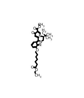 CCOC(=O)CCCCCCOc1cccc2c3n(nc12)C[C@@H](C(C)(C)C)n1cc(C(=O)OC)c(=O)cc1-3